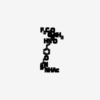 CC(=O)Nc1nc(COc2ccc(CCNC(=O)N(N)OC(=O)C(F)(F)F)cc2)cs1